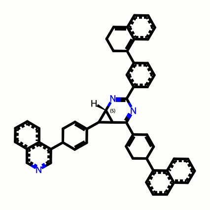 C1=CC(c2cccc3ccccc23)CC=C1C1=NC(c2cccc(C3=c4ccccc4=CCC3)c2)=N[C@H]2C(C3=CCC(c4cncc5ccccc45)C=C3)C12